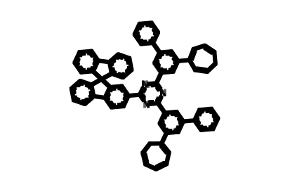 C1=CC=C(c2cc(-c3ccccc3)cc(-c3nc(-c4cc(C5=CC=CCC=C5)cc(-c5ccccc5)c4)nc(-c4ccc5c(c4)C4(c6ccccc6-c6ccccc64)c4ccccc4-5)n3)c2)CC=C1